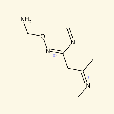 C=N/C(C/C(C)=N\C)=N\OCN